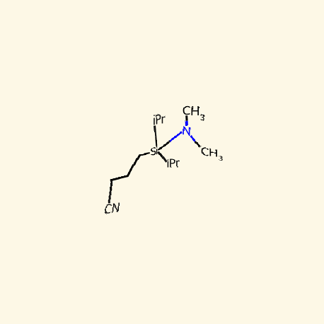 CC(C)[Si](CCCC#N)(C(C)C)N(C)C